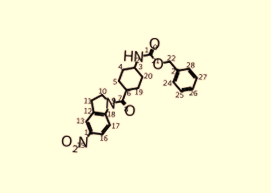 O=C(NC1CCC(C(=O)N2CCc3cc([N+](=O)[O-])ccc32)CC1)OCc1ccccc1